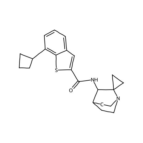 O=C(NC1C2CCN(CC2)C12CC2)c1cc2cccc(C3CCC3)c2s1